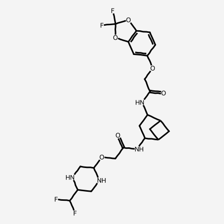 O=C(COc1ccc2c(c1)OC(F)(F)O2)NC1CC(NC(=O)COC2CNC(C(F)F)CN2)C2CC1C2